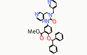 COC(=O)c1cc(NC(=O)N(Cc2cccnc2)Cc2cccnc2)ccc1OC(c1ccccc1)c1ccccc1